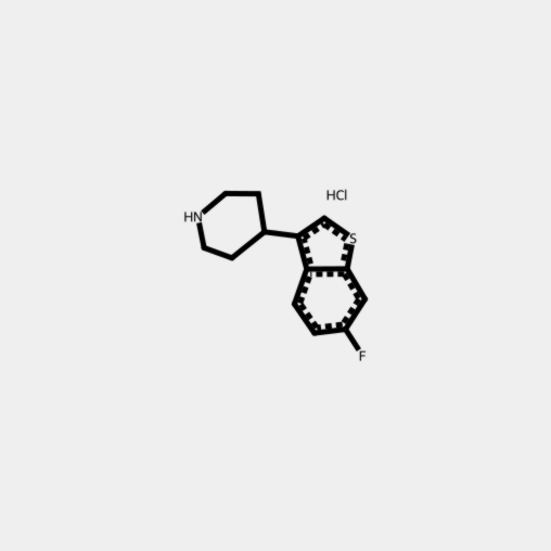 Cl.Fc1ccc2c(C3CCNCC3)csc2c1